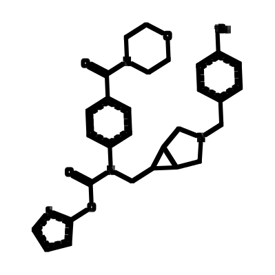 CC(C)(C)c1ccc(CN2CC3C(C2)C3CN(C(=O)Oc2cccs2)c2ccc(C(=O)N3CCOCC3)cc2)cc1